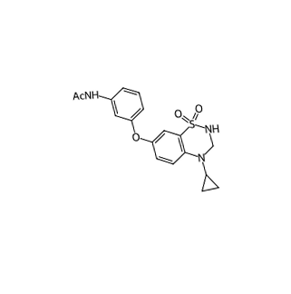 CC(=O)Nc1cccc(Oc2ccc3c(c2)S(=O)(=O)NCN3C2CC2)c1